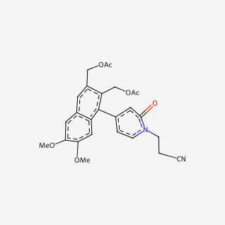 COc1cc2cc(COC(C)=O)c(COC(C)=O)c(-c3ccn(CCC#N)c(=O)c3)c2cc1OC